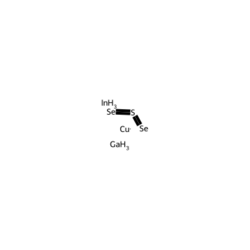 [Cu].[GaH3].[InH3].[Se]=S=[Se]